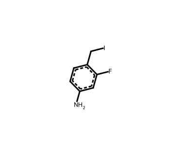 Nc1ccc(CI)c(F)c1